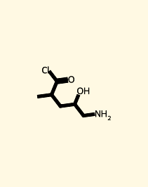 CC(CC(O)CN)C(=O)Cl